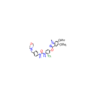 C=Nc1cc(OC)c(OC)cc1/C(=N\C)Oc1ccc(NC(=O)Nc2ccc(CN3CCOCC3)cc2)c(Cl)c1